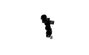 O=C(Nc1cccnn1)N1CC/C(=C\c2cccc(Oc3ccc(C(F)(F)F)cn3)c2)[C@@H](O)C1